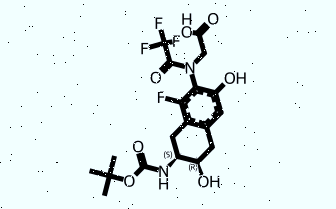 CC(C)(C)OC(=O)N[C@H]1Cc2c(cc(O)c(N(CC(=O)O)C(=O)C(F)(F)F)c2F)C[C@H]1O